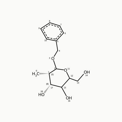 C[C@@H]1C(OCc2ccccc2)OC(CO)C(O)[C@@H]1O